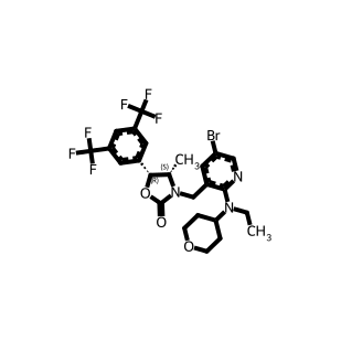 CCN(c1ncc(Br)cc1CN1C(=O)O[C@H](c2cc(C(F)(F)F)cc(C(F)(F)F)c2)[C@@H]1C)C1CCOCC1